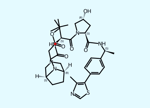 CCOC(=O)CN1C[C@H]2CC[C@@H](C1)N2CC(=O)N[C@H](C(=O)N1C[C@H](O)C[C@H]1C(=O)N[C@@H](C)c1ccc(-c2scnc2C)cc1)C(C)(C)C